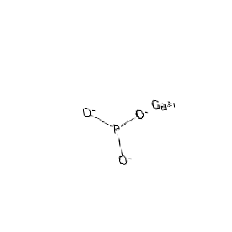 [Ga+3].[O-]P([O-])[O-]